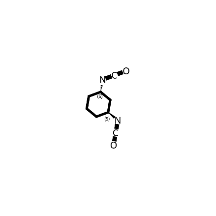 O=C=N[C@H]1CCC[C@H](N=C=O)C1